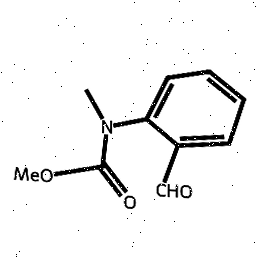 COC(=O)N(C)c1ccccc1C=O